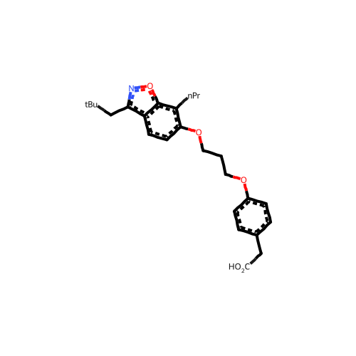 CCCc1c(OCCCOc2ccc(CC(=O)O)cc2)ccc2c(CC(C)(C)C)noc12